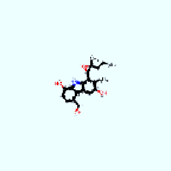 CC[C@H](C)CCC1(C)OC1c1c(C)c(O)cc2c1[nH]c1c(O)ccc(CO)c12